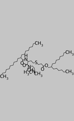 CCCCCCCCCCC(CCCCCCCC)C(=O)NC(CCSCCC(=O)OCC(CCCCCC)CCCCCCCC)C(=O)N(C)CCN(C)C